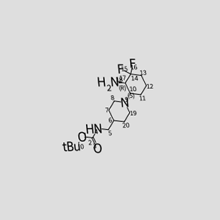 CC(C)(C)OC(=O)NCC1CCN([C@H]2CCCC(F)(F)[C@@H]2N)CC1